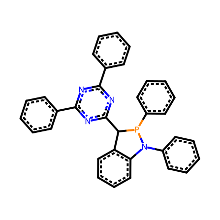 c1ccc(-c2nc(-c3ccccc3)nc(C3c4ccccc4N(c4ccccc4)P3c3ccccc3)n2)cc1